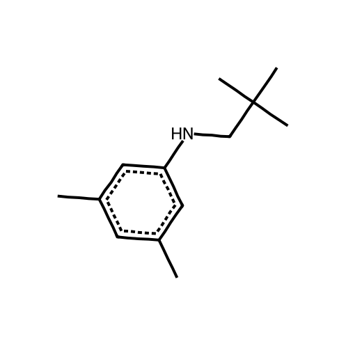 Cc1cc(C)cc(NCC(C)(C)C)c1